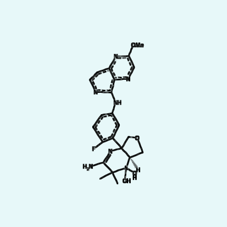 COc1cnc2c(Nc3ccc(F)c(C45COC[C@H]4S(O)(O)C(C)(C)C(N)=N5)c3)nccc2n1